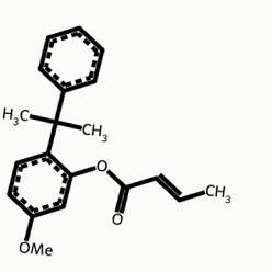 CC=CC(=O)Oc1cc(OC)ccc1C(C)(C)c1ccccc1